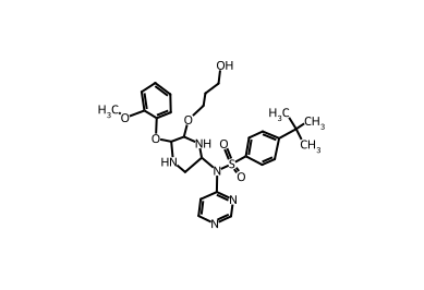 COc1ccccc1OC1NCC(N(c2ccncn2)S(=O)(=O)c2ccc(C(C)(C)C)cc2)NC1OCCCO